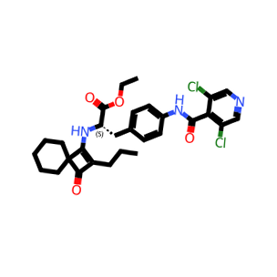 CCCC1=C(N[C@@H](Cc2ccc(NC(=O)c3c(Cl)cncc3Cl)cc2)C(=O)OCC)C2(CCCCC2)C1=O